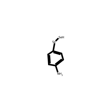 Nc1ccc([Se][SeH])cc1